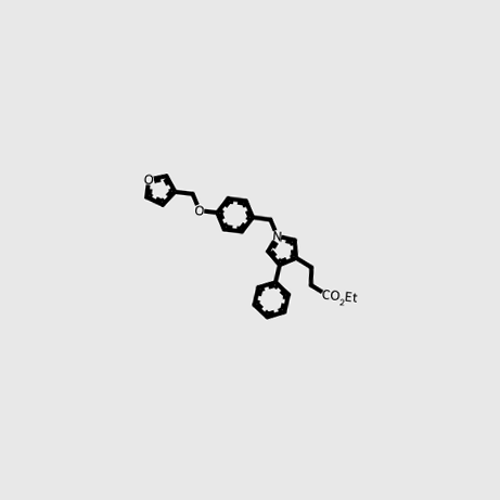 CCOC(=O)CCc1cn(Cc2ccc(OCc3ccoc3)cc2)cc1-c1ccccc1